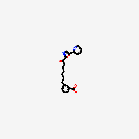 O=C(O)c1cccc(CCCCCCC(=O)c2ncc(-c3ccccn3)o2)c1